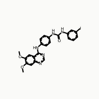 COc1cc2ncnc(Nc3ccc(NC(=O)Nc4cccc(I)c4)cc3)c2cc1OC